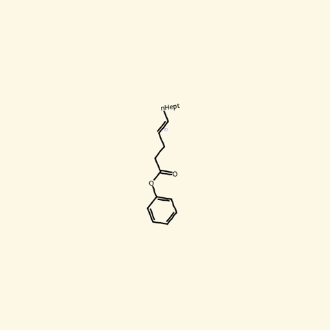 CCCCCCC/C=C/CCC(=O)Oc1ccccc1